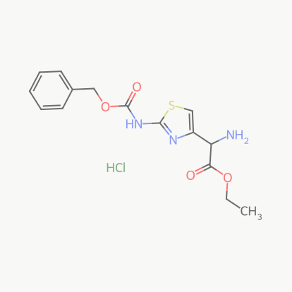 CCOC(=O)C(N)c1csc(NC(=O)OCc2ccccc2)n1.Cl